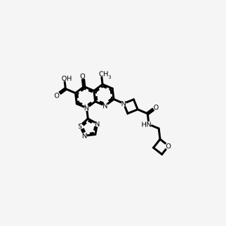 Cc1cc(N2CC(C(=O)NCC3CCO3)C2)nc2c1c(=O)c(C(=O)O)cn2-c1ncns1